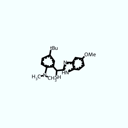 COc1ccc2[nH]c(C(S)c3cc(C(C)(C)C)ccc3N(C)C)nc2c1